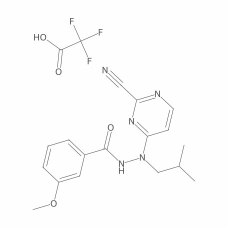 COc1cccc(C(=O)NN(CC(C)C)c2ccnc(C#N)n2)c1.O=C(O)C(F)(F)F